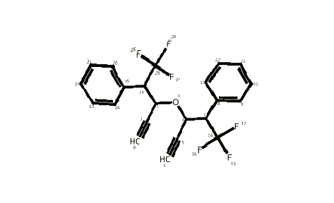 C#CC(OC(C#C)C(c1ccccc1)C(F)(F)F)C(c1ccccc1)C(F)(F)F